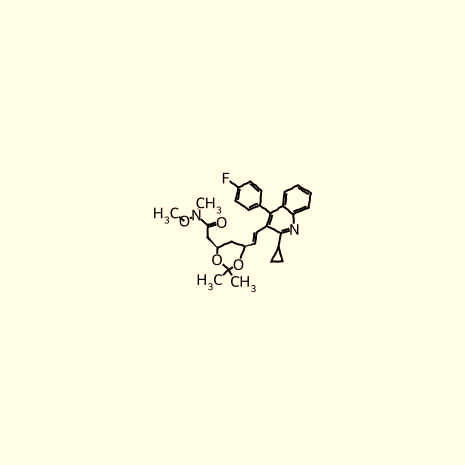 CON(C)C(=O)C[C@H]1C[C@@H](/C=C/c2c(C3CC3)nc3ccccc3c2-c2ccc(F)cc2)OC(C)(C)O1